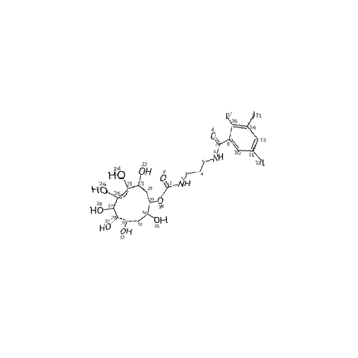 O=C(NCCCNC(=O)c1cc(I)cc(I)c1I)OC1CC(O)/C(O)=C(/O)C(O)C(O)C(O)CC1O